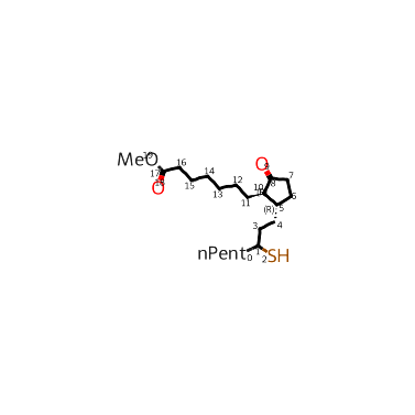 CCCCCC(S)CC[C@H]1CCC(=O)[C@@H]1CCCCCCC(=O)OC